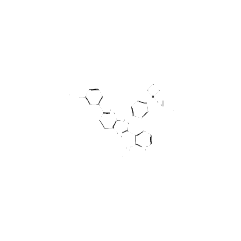 CC(=O)c1cccc(-c2ccc3nc(-c4cccnc4N)n(-c4ccc(C5(N)CCC5)cc4)c3n2)c1